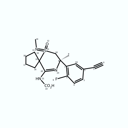 C#Cc1ccc(F)c([C@]2(C)CS(=O)(=NC)C3(CCCC3)C(NC(=O)O)=N2)c1